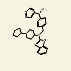 CN(c1ccncc1)c1ccc(CN(c2nc3ccccc3o2)C2CCN(C3CCCC3)CC2)cc1